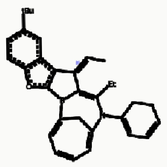 C/C=C1\C2=C(CC)N(C3=CC=CCC3)C3=CC=CC=C(C3)B2c2oc3ccc(C(C)(C)C)cc3c21